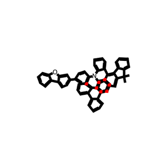 CC1(C)c2ccccc2-c2c(-c3ccccc3N(c3ccc(-c4ccc5c(c4)oc4ccccc45)cc3)c3ccccc3-c3ccccc3-c3ccccc3-c3ccccc3)cccc21